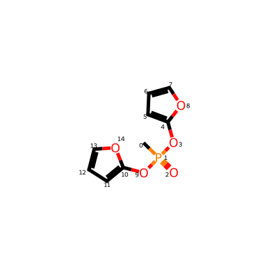 CP(=O)(Oc1ccco1)Oc1ccco1